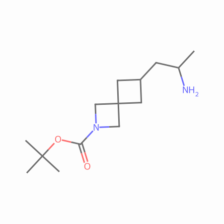 CC(N)CC1CC2(C1)CN(C(=O)OC(C)(C)C)C2